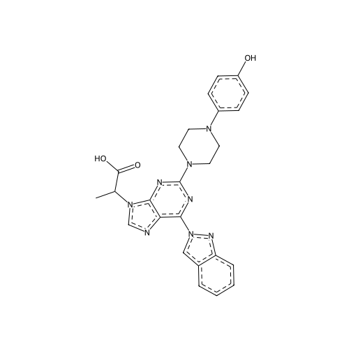 CC(C(=O)O)n1cnc2c(-n3cc4ccccc4n3)nc(N3CCN(c4ccc(O)cc4)CC3)nc21